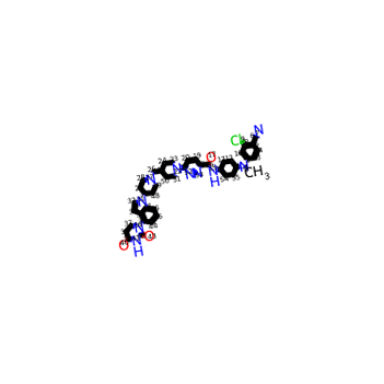 CN(c1ccc(C#N)c(Cl)c1)C1CCC(NC(=O)c2ccc(N3CCC(CN4CCC(n5ccc6c(N7CCC(=O)NC7=O)cccc65)CC4)CC3)nn2)CC1